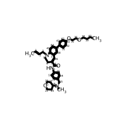 CC=CCN1CCC(C(=O)Nc2ccc(CN(C)C3CCOCC3)cc2)=Cc2cc(-c3ccc(OCCOCCCC)cc3)ccc21